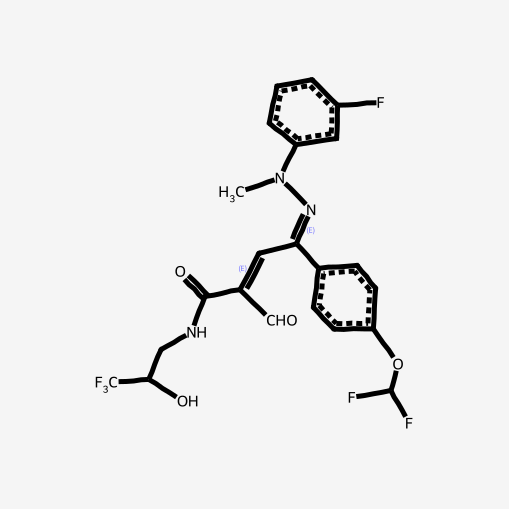 CN(/N=C(\C=C(/C=O)C(=O)NCC(O)C(F)(F)F)c1ccc(OC(F)F)cc1)c1cccc(F)c1